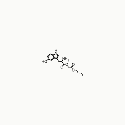 CCCCOC(=O)COC(=O)C(N)Cc1c[nH]c2ccc(O)cc12